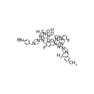 Cc1ccc(C)c(CN2CCN(c3nc4c(c(=O)n(C)c(=O)n4Cc4ccc(Cn5c(N6CCN(Cc7ccc(C(C)(C)C)cc7)CC6)nc6c5c(=O)n(CO)c(=O)n6C)c(F)c4)n3Cc3ccccc3F)CC2)c1